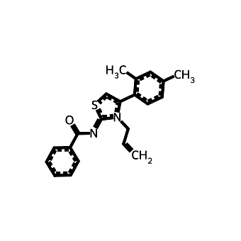 C=CCn1c(-c2ccc(C)cc2C)csc1=NC(=O)c1ccccc1